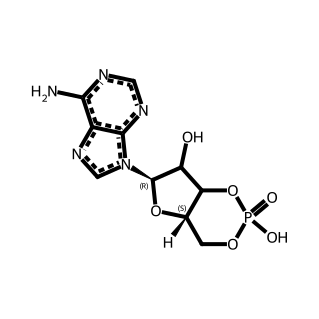 Nc1ncnc2c1ncn2[C@@H]1O[C@H]2COP(=O)(O)OC2C1O